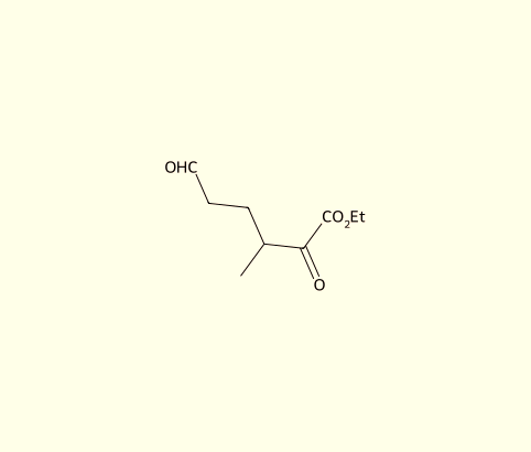 CCOC(=O)C(=O)C(C)CCC=O